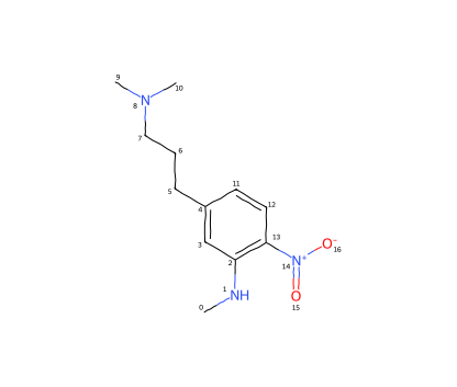 CNc1cc(CCCN(C)C)ccc1[N+](=O)[O-]